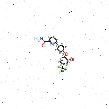 NC(=O)c1cccc(-c2ccc(Oc3ccc(C(F)(F)F)cc3Br)cc2)n1